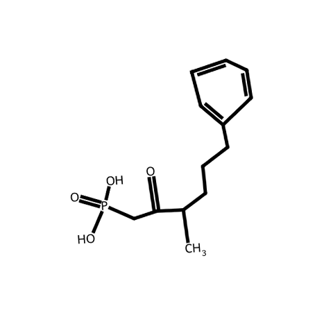 CC(CCCc1ccccc1)C(=O)CP(=O)(O)O